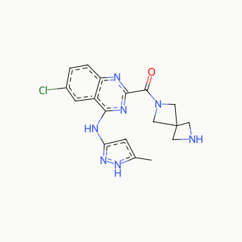 Cc1cc(Nc2nc(C(=O)N3CC4(CNC4)C3)nc3ccc(Cl)cc23)n[nH]1